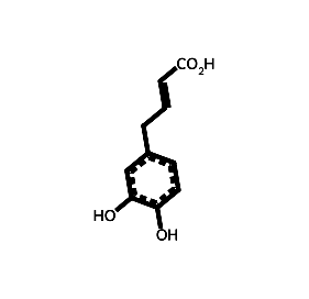 O=C(O)C=CCc1ccc(O)c(O)c1